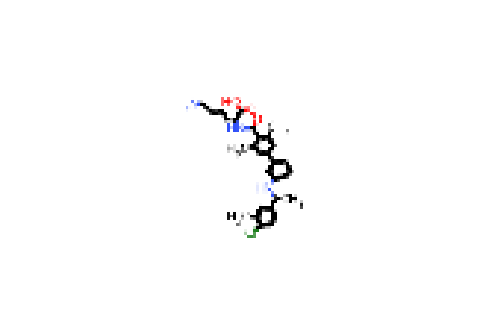 Cc1cc(C(C)Nc2cccc(-c3cc(C)c(C(=O)N[C@@H](CCCCN)C(=O)O)c(C)c3)c2)ccc1Cl